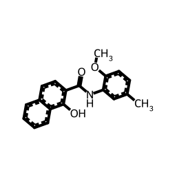 COc1ccc(C)cc1NC(=O)c1ccc2ccccc2c1O